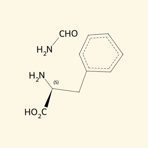 NC=O.N[C@@H](Cc1ccccc1)C(=O)O